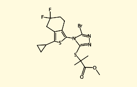 COC(=O)C(C)(C)Sc1nnc(Br)n1-c1sc(C2CC2)c2c1CCC(F)(F)C2